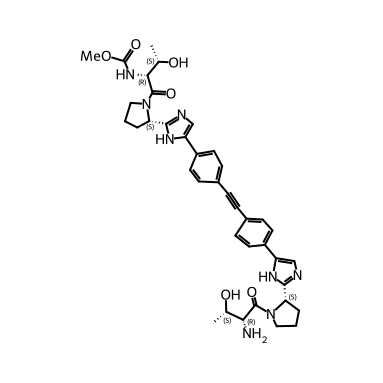 COC(=O)N[C@@H](C(=O)N1CCC[C@H]1c1ncc(-c2ccc(C#Cc3ccc(-c4cnc([C@@H]5CCCN5C(=O)[C@H](N)[C@H](C)O)[nH]4)cc3)cc2)[nH]1)[C@H](C)O